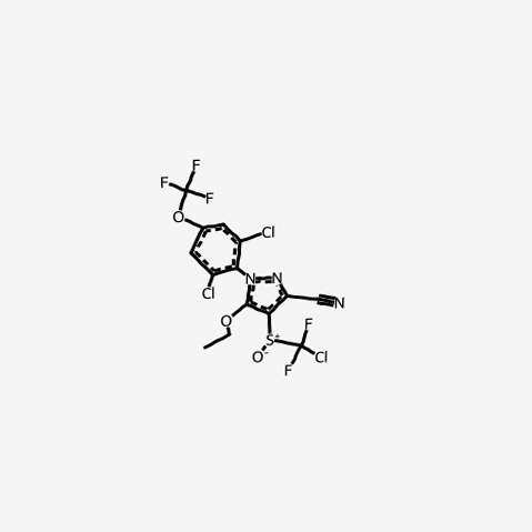 CCOc1c([S+]([O-])C(F)(F)Cl)c(C#N)nn1-c1c(Cl)cc(OC(F)(F)F)cc1Cl